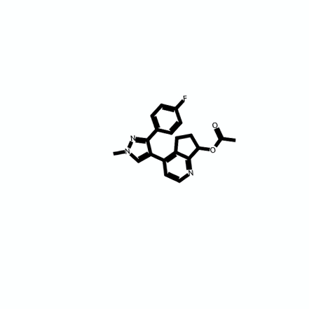 CC(=O)OC1CCc2c(-c3cn(C)nc3-c3ccc(F)cc3)ccnc21